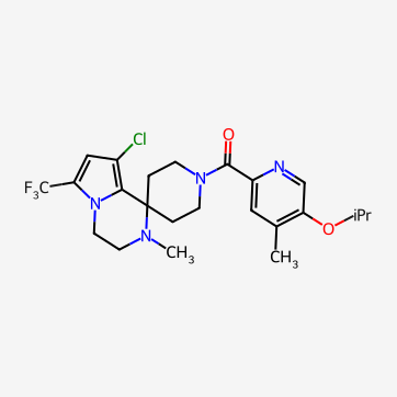 Cc1cc(C(=O)N2CCC3(CC2)c2c(Cl)cc(C(F)(F)F)n2CCN3C)ncc1OC(C)C